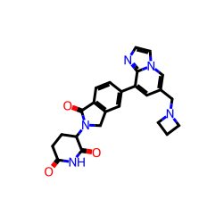 O=C1CCC(N2Cc3cc(-c4cc(CN5CCC5)cn5ccnc45)ccc3C2=O)C(=O)N1